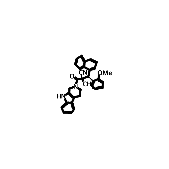 COc1ccccc1[C@H](c1cccc2ccccc12)[C@@](C)(C#N)C(=O)N1CCc2c([nH]c3ccccc23)C1